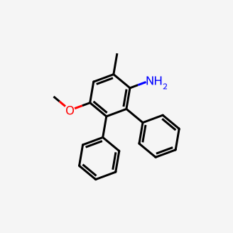 COc1cc(C)c(N)c(-c2ccccc2)c1-c1ccccc1